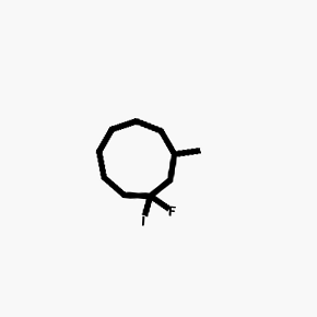 CC1CCCCCCC(F)(I)C1